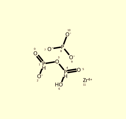 O=[PH]([O-])O[PH](=O)O.[O-]P([O-])[O-].[Zr+4]